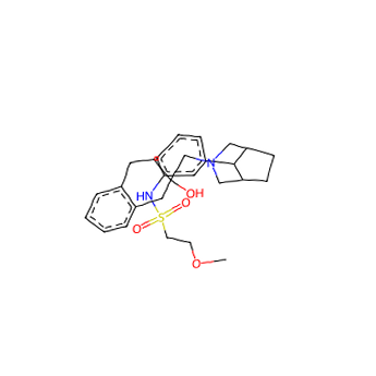 COCCS(=O)(=O)Nc1cccc(C2C3CCC2CN(CC2(O)CCc4ccccc4C2)C3)c1